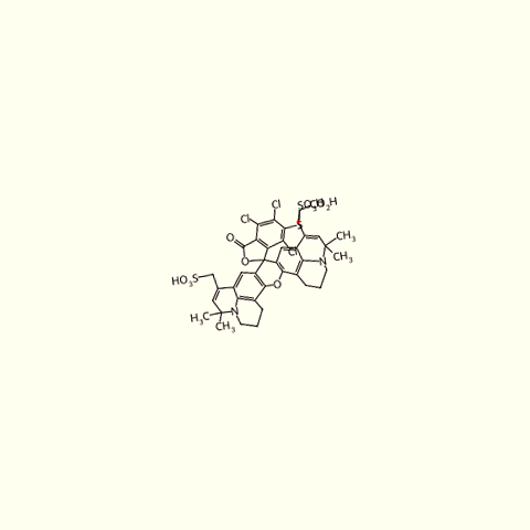 CC1(C)C=C(CS(=O)(=O)O)c2cc3c(c4c2N1CCC4)Oc1c(cc2c4c1CCCN4C(C)(C)C=C2CS(=O)(=O)O)C31OC(=O)c2c(Cl)c(Cl)c(SCC(=O)O)c(Cl)c21